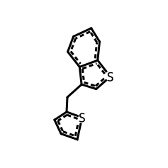 c1csc(Cc2csc3ccccc23)c1